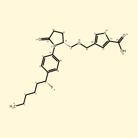 CCCCC[C@@H](F)c1ccc(N2C(=O)CC[C@@H]2COCc2csc(C(=O)O)c2)cc1